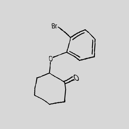 O=C1CCCCC1Oc1ccccc1Br